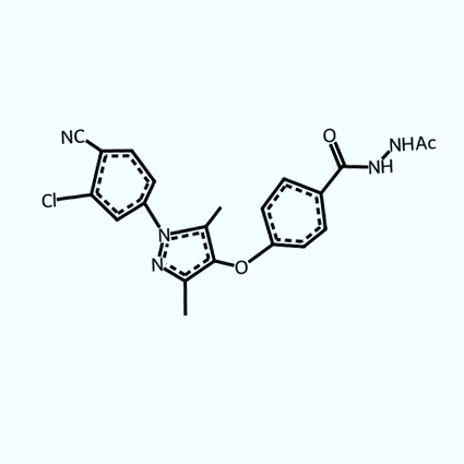 CC(=O)NNC(=O)c1ccc(Oc2c(C)nn(-c3ccc(C#N)c(Cl)c3)c2C)cc1